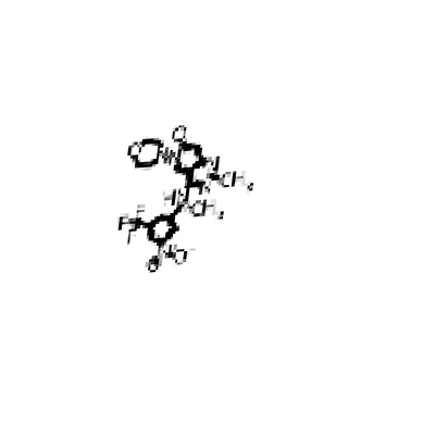 Cc1nc(N[C@H](C)c2cc([N+](=O)[O-])cc(C(F)(F)F)c2)c2cn(N3CCOCC3)c(=O)cc2n1